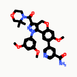 COc1cc(OC)cc(-n2nc(C(=O)N3CCOCC3(C)C)c3c2-c2cc(-c4cncc(C(N)=O)c4)c(OC)cc2OC3)c1